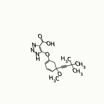 COC1(C#CC(C)(C)C)C=CC=C(Oc2[nH]nnc2C(=O)O)C1